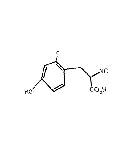 O=NC(Cc1ccc(O)cc1Cl)C(=O)O